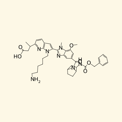 COc1cc(C(=O)N2C3CCC2C(NC(=O)OCc2ccccc2)C3)cc2nc(-c3cc4ccc(C(C)CC(=O)O)nc4n3CCCCCCN)n(C)c12